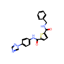 O=C(NCc1ccccc1)c1ccc(C(=O)Nc2ccc(-n3cncn3)cc2)s1